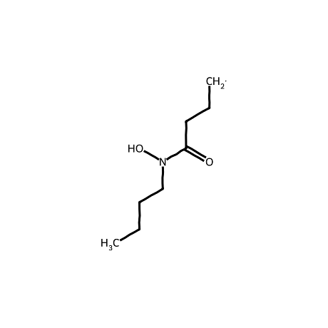 [CH2]CCC(=O)N(O)CCCC